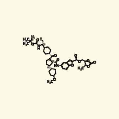 COC1CCC([C@@H]2CCN(C(=O)[C@H]3CC[C@H]([C@@H](CF)NC(=O)OC(C)(C)C)CC3)[C@@H]2C(=O)Nc2ccc3oc(C(=O)OCc4oc(=O)oc4C)cc3c2)CC1